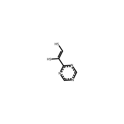 SC=C(S)c1ncncn1